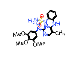 COc1cc(Nc2ncc(C)c(Nc3ccccc3NS(N)(=O)=O)n2)cc(OC)c1OC